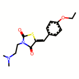 CCOc1ccc(/C=C2\SC(=O)N(CCN(C)C)C2=O)cc1